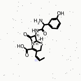 C/C=C\C1=C(C(=O)O)N2C(=O)[C@@H](NC(=O)C(N)c3cccc(O)c3)[C@H]2SC1